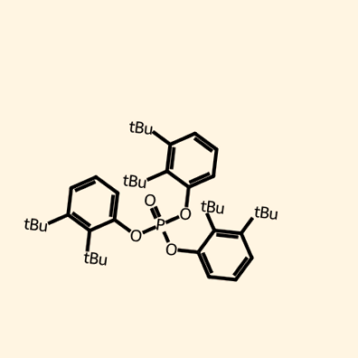 CC(C)(C)c1cccc(OP(=O)(Oc2cccc(C(C)(C)C)c2C(C)(C)C)Oc2cccc(C(C)(C)C)c2C(C)(C)C)c1C(C)(C)C